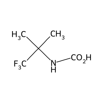 CC(C)(NC(=O)O)C(F)(F)F